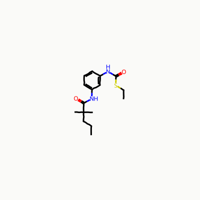 CCCC(C)(C)C(=O)Nc1cccc(NC(=O)SCC)c1